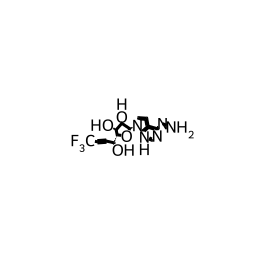 NN=c1nc[nH]c2c1ccn2[C@@H]1O[C@H](C(O)C#CC(F)(F)F)[C@@H](O)[C@H]1O